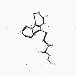 O=C(CCCl)NCCc1c2c(n3ccccc13)CCCC2